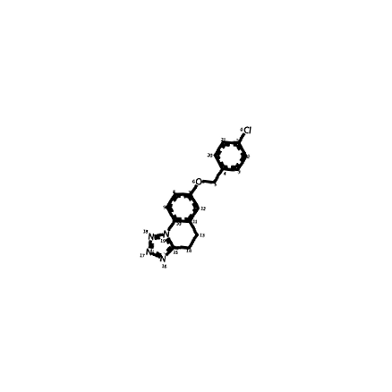 Clc1ccc(COc2ccc3c(c2)CCc2nnnn2-3)cc1